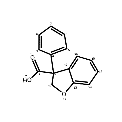 O=C(O)C1(c2ccccc2)COc2ccccc21